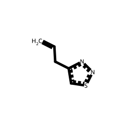 C=CCc1csnn1